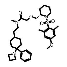 COc1cc(C)c(S(=O)(=O)N2CCCC[C@H]2COCC(=O)N(C)CCC2CCC(c3ccccc3)(N3CCC3)CC2)c(C)c1